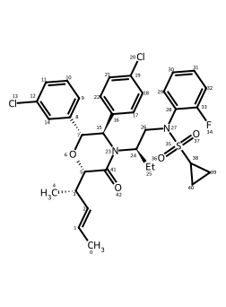 C/C=C/[C@H](C)[C@@H]1O[C@H](c2cccc(Cl)c2)[C@@H](c2ccc(Cl)cc2)N([C@H](CC)CN(c2ccccc2F)S(=O)(=O)C2CC2)C1=O